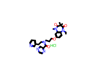 CCN1C(=O)C(C)(C)C(=O)N(C)c2cc(OCCCN(CCc3cccnc3)C(=O)c3cnccn3)ccc21.Cl